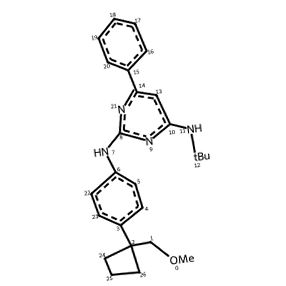 COCC1(c2ccc(Nc3nc(NC(C)(C)C)cc(-c4ccccc4)n3)cc2)CCC1